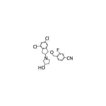 N#Cc1ccc(CO[C@H]2c3cc(Cl)cc(Cl)c3C[C@@H]2N2CC[C@@H](O)C2)c(F)c1